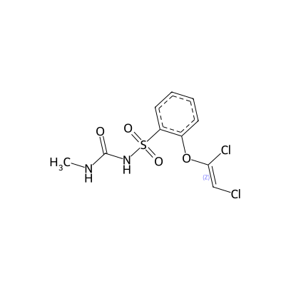 CNC(=O)NS(=O)(=O)c1ccccc1O/C(Cl)=C/Cl